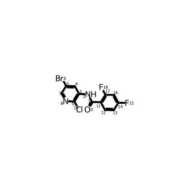 O=C(Nc1cc(Br)cnc1Cl)c1ccc(F)cc1F